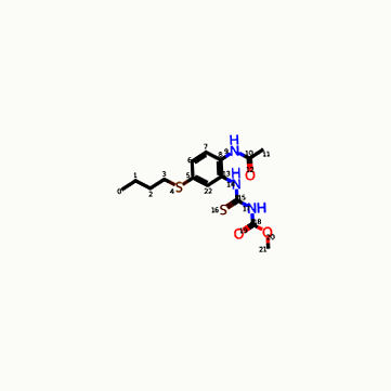 CCCCSc1ccc(NC(C)=O)c(NC(=S)NC(=O)OC)c1